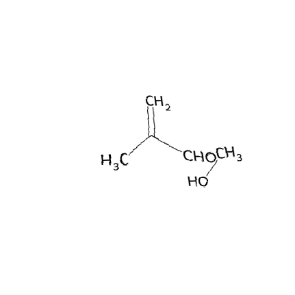 C=C(C)C=O.CO